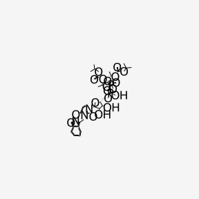 CC(C)OC(=O)OC(C)OP(=O)(OC(C)OC(=O)OC(C)C)OP(=O)(O)OC[C@H]1O[C@@H](n2ccc(=O)n(Cc3noc4ccccc34)c2=O)C(O)[C@H]1O